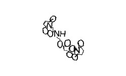 O=C(CN1C(=O)C=CC1=O)NCCOC(=O)CC(=O)ON1C(=O)CCC1=O